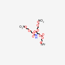 CCCOCCOC(=O)OCC(NC(=O)OCCOCCO[N+](=O)[O-])C(=O)OCCOCO[N+](=O)[O-]